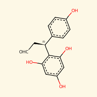 O=CC[C@@H](c1ccc(O)cc1)c1c(O)cc(O)cc1O